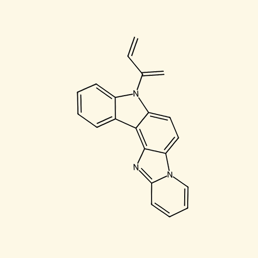 C=CC(=C)n1c2ccccc2c2c3nc4ccccn4c3ccc21